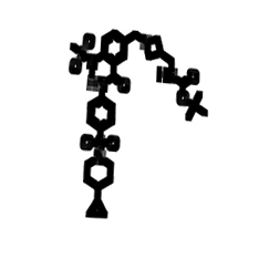 CN(c1ccc(CN2CC(CNC(=O)OC(C)(C)C)C2)cc1C(=O)Nc1ccc(S(=O)(=O)N2CCC(C3CC3)CC2)cc1)S(C)(=O)=O